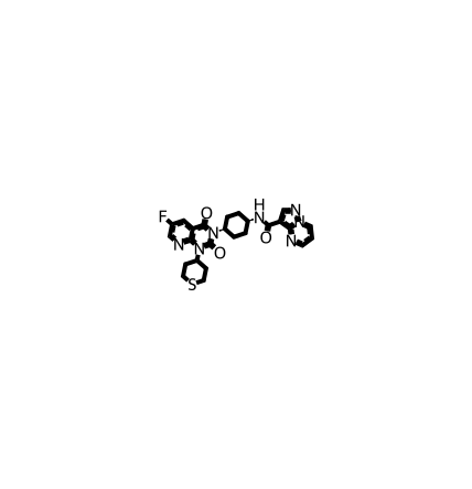 O=C(N[C@H]1CC[C@@H](n2c(=O)c3cc(F)cnc3n(C3CCSCC3)c2=O)CC1)c1cnn2cccnc12